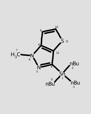 CCC[CH2][Sn]([CH2]CCC)([CH2]CCC)[c]1nn(C)c2ccsc12